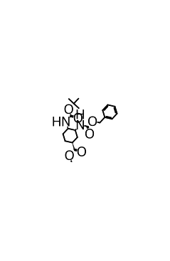 COC(=O)[C@H]1CC[C@@H](NC(=O)OC(C)(C)C)[C@@H](NC(=O)OCc2ccccc2)C1